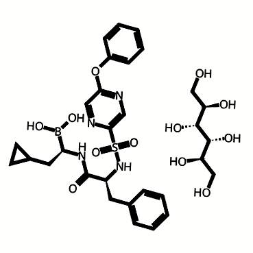 O=C(N[C@@H](CC1CC1)B(O)O)[C@H](Cc1ccccc1)NS(=O)(=O)c1cnc(Oc2ccccc2)cn1.OC[C@@H](O)[C@@H](O)[C@H](O)[C@H](O)CO